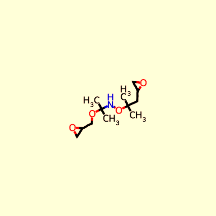 CC(C)(CC1CO1)ONC(C)(C)OCC1CO1